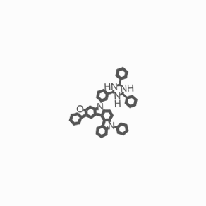 c1ccc(C2NC(c3ccccc3)NC(c3cccc(-n4c5cc6oc7ccccc7c6cc5c5c6c7ccccc7n(-c7ccccc7)c6ccc54)c3)N2)cc1